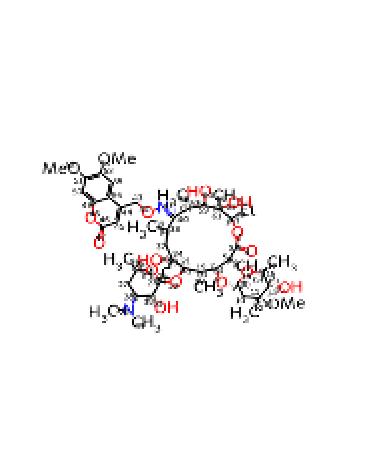 CC[C@H]1OC(=O)[C@H](C)[C@@H](O[C@H]2C[C@@](C)(OC)[C@@H](O)[C@H](C)O2)[C@H](C)[C@@H](O[C@@H]2O[C@H](C)C[C@H](N(C)C)[C@H]2O)[C@](C)(O)C[C@@H](C)/C(=N\OCc2cc(=O)oc3cc(OC)c(OC)cc23)[C@H](C)[C@@H](O)[C@]1(C)O